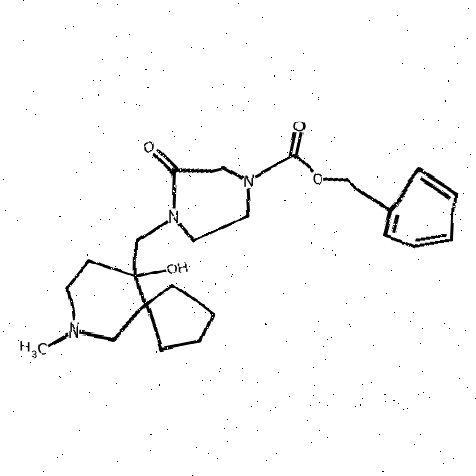 CN1CCC(O)(CN2CCN(C(=O)OCc3ccccc3)CC2=O)C2(CCCC2)C1